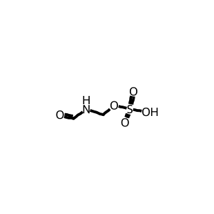 O=CNCOS(=O)(=O)O